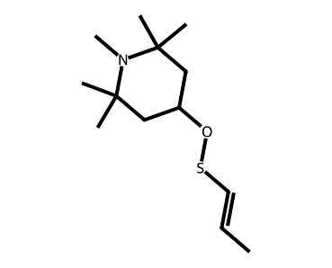 C/C=C/SOC1CC(C)(C)N(C)C(C)(C)C1